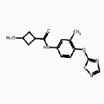 COC1CC(C(=O)Nc2ccc(Oc3ncns3)c(C)c2)C1